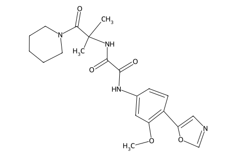 COc1cc(NC(=O)C(=O)NC(C)(C)C(=O)N2CCCCC2)ccc1-c1cnco1